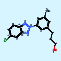 CC(C)(C)c1cc(CCCO)cc(-n2nc3ccc(Cl)cc3n2)c1